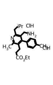 CCOC(=O)CCc1c(C)nc(CC(C)C)c(CN)c1-c1ccc(C)cc1.Cl.Cl